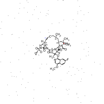 CCC(C)N(C(=O)O)[C@@H]1C(=O)N2[C@@H](C[C@@](C)(Oc3ncc(OC)c4ccc(F)cc34)C2(F)F)C(=O)N[C@]2(C(=O)NS(=O)(=O)C3CC3)C[C@H]2/C=C\CC[C@@H](C)C[C@H]1CC